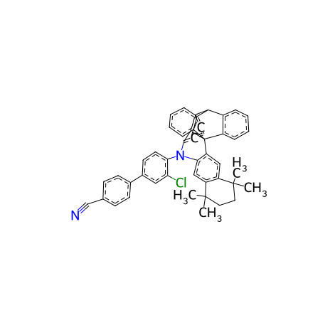 CC1(C)CCC(C)(C)c2cc3c(cc21)N(c1ccc(-c2ccc(C#N)cc2)cc1Cl)c1cccc2c1C31c3ccccc3C2c2ccccc21